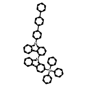 c1ccc(-c2ccc(-c3ccc(-n4c5ccccc5c5c(-n6c7ccccc7c7ccc([Si](c8ccccc8)(c8ccccc8)c8ccccc8)cc76)cccc54)cc3)cc2)cc1